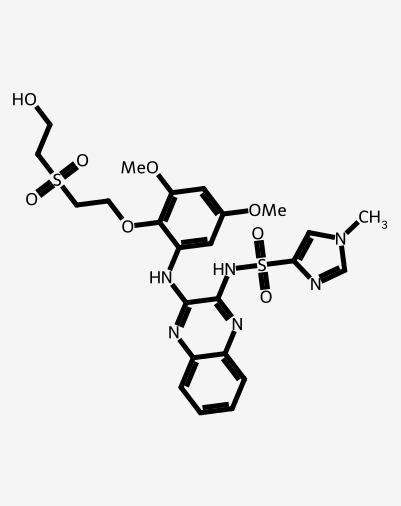 COc1cc(Nc2nc3ccccc3nc2NS(=O)(=O)c2cn(C)cn2)c(OCCS(=O)(=O)CCO)c(OC)c1